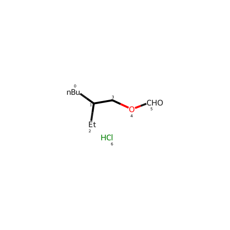 CCCCC(CC)COC=O.Cl